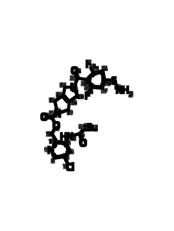 CC(C)(C)C(=O)Nc1cc(Cl)cnc1COC(=O)N1CC2=C(C1)CN(C(=O)c1c(F)cc(SN)cc1F)C2